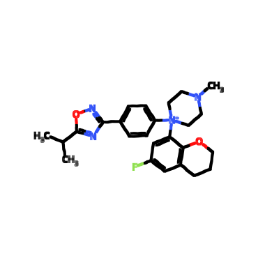 CC(C)c1nc(-c2ccc([N+]3(c4cc(F)cc5c4OCCC5)CCN(C)CC3)cc2)no1